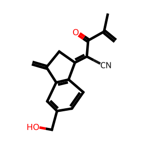 C=C(C)C(=O)/C(C#N)=C1\CC(=C)c2cc(CO)ccc21